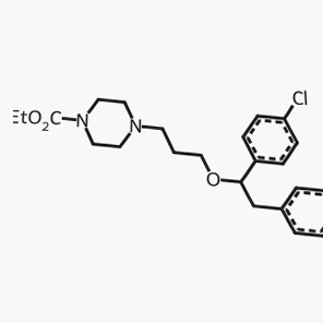 CCOC(=O)N1CCN(CCCOC(Cc2ccccc2)c2ccc(Cl)cc2)CC1